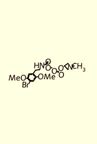 COc1cc(CCNC(=O)OCOC(=O)OC2CN(C)C2)c(OC)cc1Br